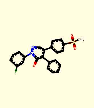 CS(=O)(=O)c1ccc(-c2cnn(-c3cccc(F)c3)c(=O)c2-c2ccccc2)cc1